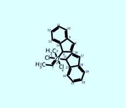 C[CH]=[Zr]([CH3])([Cl])([Cl])([CH]1C=Cc2ccccc21)[CH]1C=Cc2ccccc21